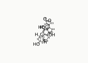 CC12CCC(O)C[C@H]1CCC1C2CC(O)C2(C)C(C3=CC(=O)OC3)CCC12O